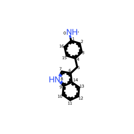 [NH]c1ccc(Cc2c[nH]c3ccccc23)cc1